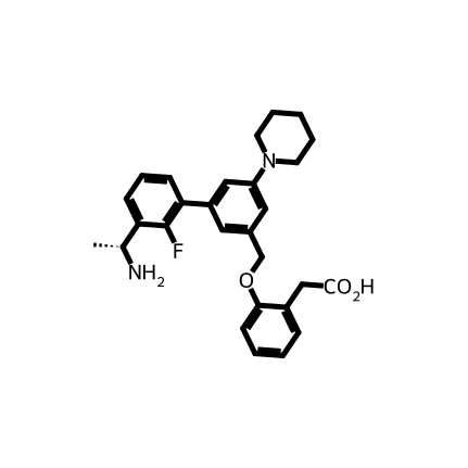 C[C@@H](N)c1cccc(-c2cc(COc3ccccc3CC(=O)O)cc(N3CCCCC3)c2)c1F